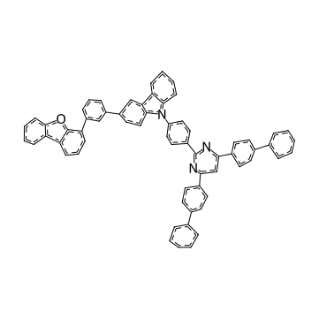 c1ccc(-c2ccc(-c3cc(-c4ccc(-c5ccccc5)cc4)nc(-c4ccc(-n5c6ccccc6c6cc(-c7cccc(-c8cccc9c8oc8ccccc89)c7)ccc65)cc4)n3)cc2)cc1